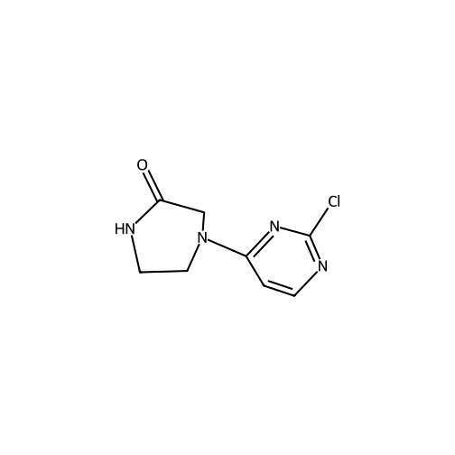 O=C1CN(c2ccnc(Cl)n2)CCN1